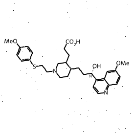 COc1ccc(SCCN2CCC(CC[C@H](O)c3ccnc4ccc(OC)cc34)C(CCC(=O)O)C2)cc1